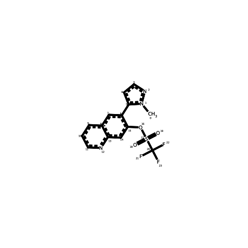 Cn1nccc1-c1cc2cccnc2cc1OS(=O)(=O)C(F)(F)F